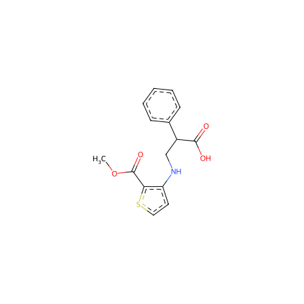 COC(=O)c1sccc1NCC(C(=O)O)c1ccccc1